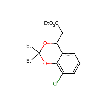 CCOC(=O)CC1OC(CC)(CC)Oc2c(Cl)cccc21